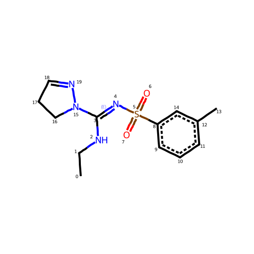 CCN/C(=N\S(=O)(=O)c1cccc(C)c1)N1CCC=N1